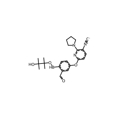 [C-]#[N+]c1ccc(Oc2ccc(BOC(C)(C)C(C)(C)O)c(C=O)c2)nc1N1CCCC1